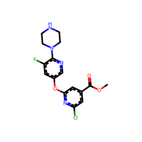 COC(=O)c1cc(Cl)nc(Oc2cnc(N3CCNCC3)c(F)c2)c1